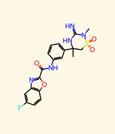 CN1C(=N)NC(C)(c2cccc(NC(=O)c3nc4cc(F)ccc4o3)c2)CS1(=O)=O